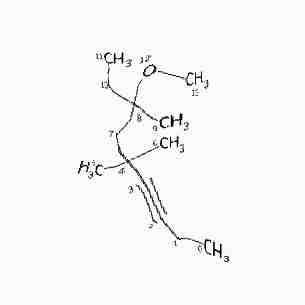 CCC#CC(C)(C)CC(C)(CC)OC